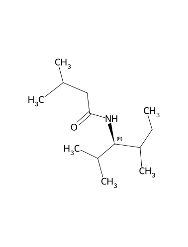 CCC(C)[C@H](NC(=O)CC(C)C)C(C)C